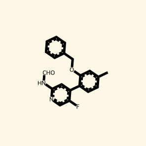 Cc1ccc(-c2cc(NC=O)ncc2F)c(OCc2ccccc2)c1